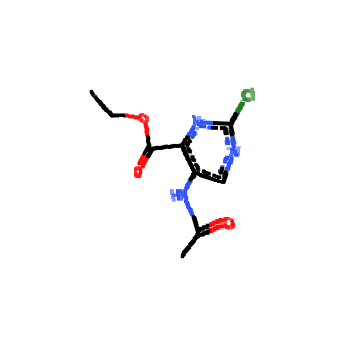 CCOC(=O)c1nc(Cl)ncc1NC(C)=O